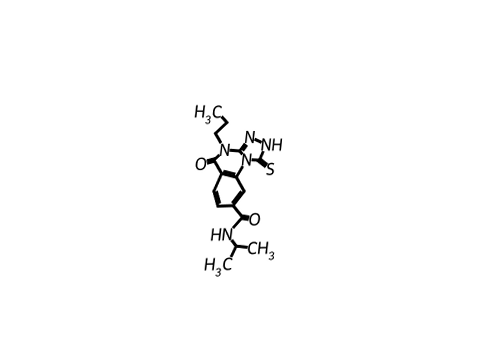 CCCn1c(=O)c2ccc(C(=O)NC(C)C)cc2n2c(=S)[nH]nc12